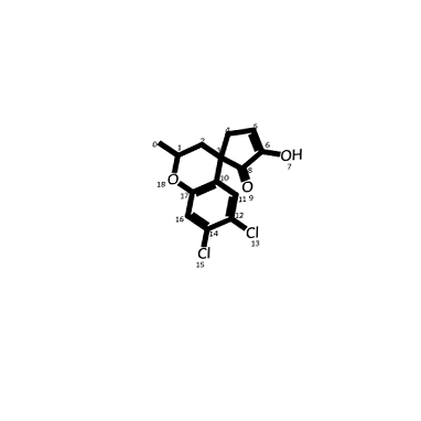 CC1CC2(CC=C(O)C2=O)c2cc(Cl)c(Cl)cc2O1